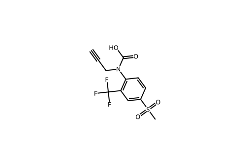 C#CCN(C(=O)O)c1ccc(S(C)(=O)=O)cc1C(F)(F)F